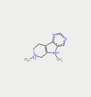 [CH2-][NH+]1CCC2=C(C1)[NH+]([CH2-])c1cncnc12